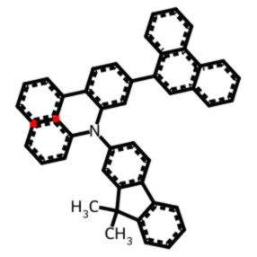 CC1(C)c2ccccc2-c2ccc(N(c3ccccc3)c3cc(-c4cc5ccccc5c5ccccc45)ccc3-c3ccccc3)cc21